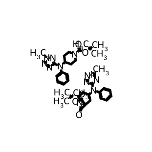 Cn1nnc(N(c2ccccc2)C2CCN(C(=O)OC(C)(C)C)CC2)n1.Cn1nnc(N(c2ccccc2)C2CCN3C(=O)C3(C(=O)OC(C)(C)C)C2)n1